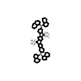 CC1(C)c2cc(N(c3cccc4ccccc34)c3cccc4ccccc34)ccc2-c2cc3c(cc21)-c1cc2ccc(N(c4cccc5ccccc45)c4cccc5ccccc45)cc2cc1C3(C)C